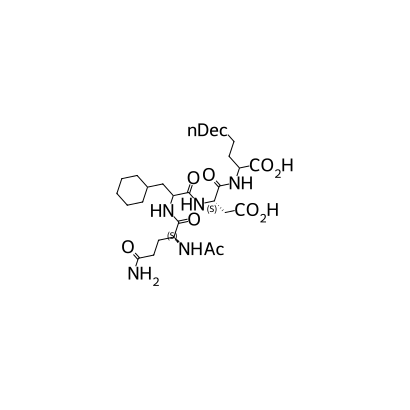 CCCCCCCCCCCCC(NC(=O)[C@H](CC(=O)O)NC(=O)C(CC1CCCCC1)NC(=O)[C@H](CCC(N)=O)NC(C)=O)C(=O)O